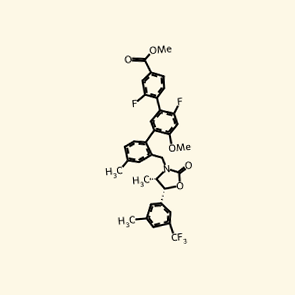 COC(=O)c1ccc(-c2cc(-c3ccc(C)cc3CN3C(=O)O[C@H](c4cc(C)cc(C(F)(F)F)c4)[C@@H]3C)c(OC)cc2F)c(F)c1